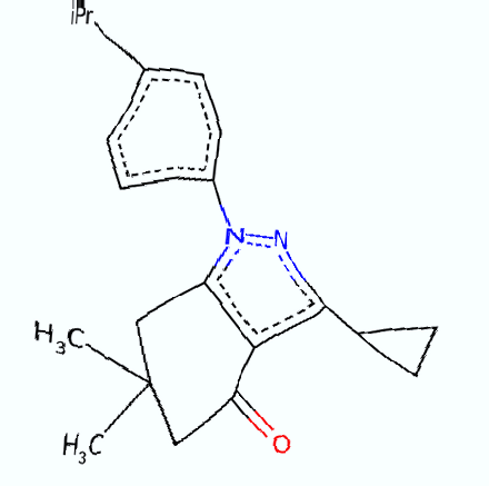 CC(C)c1ccc(-n2nc(C3CC3)c3c2CC(C)(C)CC3=O)cc1